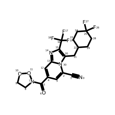 N#Cc1cc(C(=O)N2CCOO2)cc2nc(C(F)(F)F)c(CC3CCC(F)(F)CC3)n12